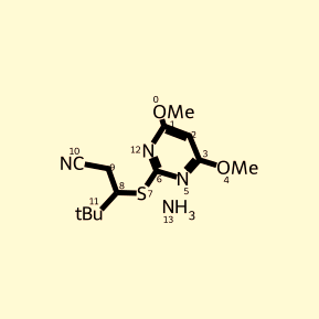 COc1cc(OC)nc(SC(CC#N)C(C)(C)C)n1.N